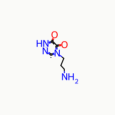 NCCCn1[c]n[nH]c(=O)c1=O